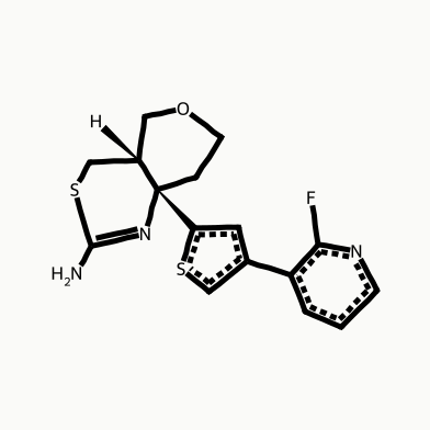 NC1=N[C@@]2(c3cc(-c4cccnc4F)cs3)CCOC[C@H]2CS1